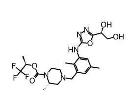 Cc1cc(CN2CCN(C(=O)O[C@H](C)C(F)(F)F)[C@@H](C)C2)c(C)c(Nc2nnc([C@@H](O)CO)o2)c1